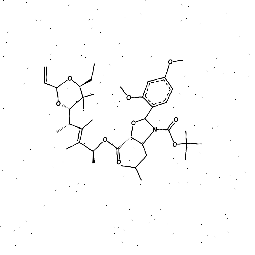 C=CC1O[C@@H](CC)C(C)(C)[C@H]([C@@H](C)/C(C)=C(\C)[C@H](C)OC(=O)[C@@H]2OC(c3ccc(OC)cc3OC)N(C(=O)OC(C)(C)C)C2CC(C)C)O1